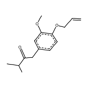 C=CCOc1ccc(CC(=O)C(C)C)cc1OC